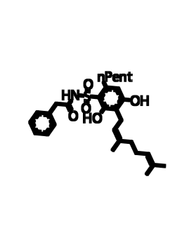 CCCCCc1cc(O)c(CC=C(C)CCC=C(C)C)c(O)c1S(=O)(=O)NC(=O)Cc1ccccc1